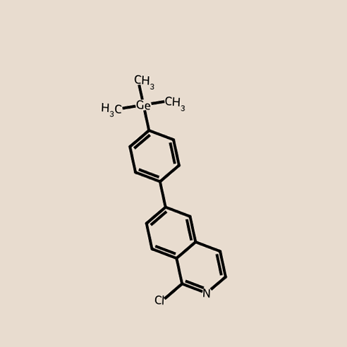 [CH3][Ge]([CH3])([CH3])[c]1ccc(-c2ccc3c(Cl)nccc3c2)cc1